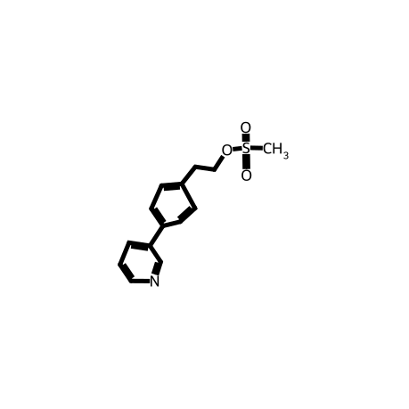 CS(=O)(=O)OCCc1ccc(-c2cccnc2)cc1